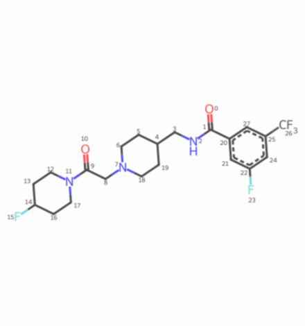 O=C(NCC1CCN(CC(=O)N2CCC(F)CC2)CC1)c1cc(F)cc(C(F)(F)F)c1